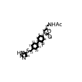 CC(=O)NC[C@H]1CN(c2ccc(-c3ccc(CSc4cnn[nH]4)cc3)c(F)c2)C(=O)O1